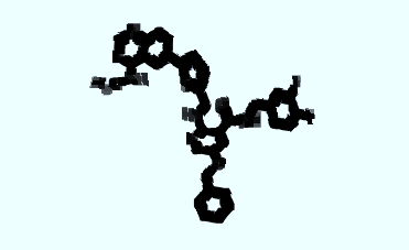 CNc1ncnc2ccc(-c3ccc(CNc4ncc(OCc5ccccc5)cc4C(=O)NCc4ccc(F)c(F)c4)s3)cc12